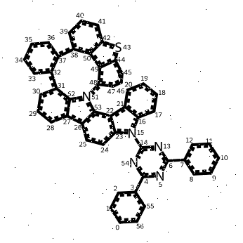 c1ccc(-c2nc(-c3ccccc3)nc(-n3c4ccccc4c4c3ccc3c5cccc6c7ccccc7c7cccc8sc9cccc(c9c87)n(c65)c34)n2)cc1